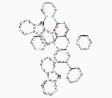 c1ccc(C23c4ccccc4C(c4ccccc4)(c4ccc(-c5ccccc5-n5c6ccccc6c6ccccc65)cc42)c2cc(-c4ccccc4-n4c5ccccc5c5ccccc54)ccc23)cc1